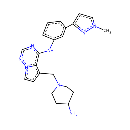 Cn1ccc(-c2cccc(Nc3ncnn4ccc(CN5CCC(N)CC5)c34)c2)n1